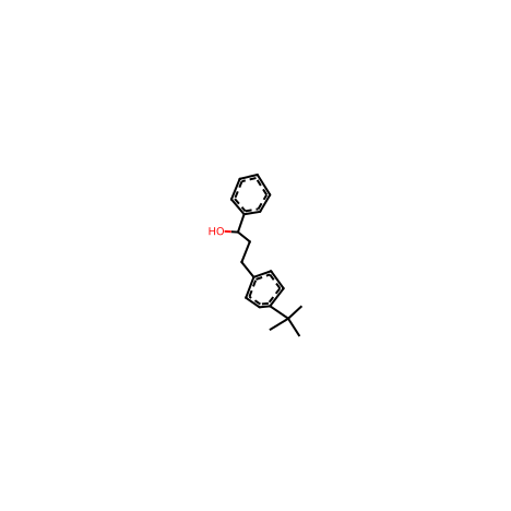 CC(C)(C)c1ccc(CCC(O)c2ccccc2)cc1